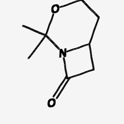 CC1(C)OCCC2CC(=O)N21